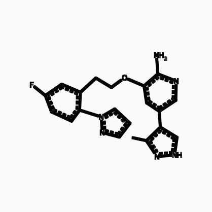 Cc1n[nH]cc1-c1cnc(N)c(OCCc2cc(F)ccc2-n2cccn2)c1